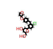 OCC1CC(O)CC(c2ccc(Cl)c(Cc3ccc(OC4CCOC4)cc3)c2)O1